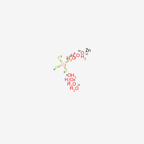 F[B-](F)(F)F.O.O.O.O.O.O.O.[Zn]